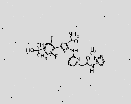 Cn1nccc1NC(=O)Cc1cccc(Nc2sc(-c3c(F)cc(C(C)(C)O)cc3F)cc2C(N)=O)n1